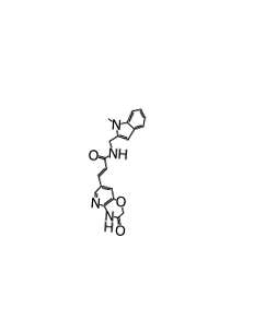 Cn1c(CNC(=O)C=Cc2cnc3c(c2)OCC(=O)N3)cc2ccccc21